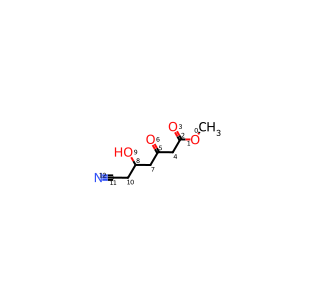 COC(=O)CC(=O)CC(O)CC#N